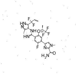 C=CC(F)(F)c1[nH]nc(C)c1NC(=N)c1cc(F)c(-c2cn(C)c(C(N)=O)n2)cc1O[C@@H](C)C(F)(F)F